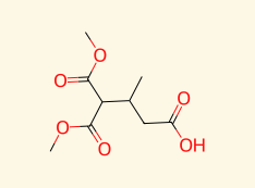 COC(=O)C(C(=O)OC)C(C)CC(=O)O